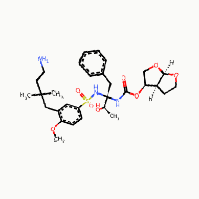 COc1ccc(S(=O)(=O)N[C@](Cc2ccccc2)(NC(=O)O[C@H]2CO[C@H]3OCC[C@H]32)[C@@H](C)O)cc1CC(C)(C)CCN